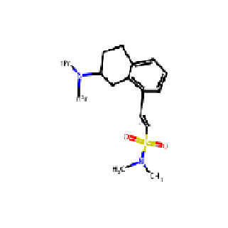 CCCN(CCC)C1CCc2cccc(/C=C/S(=O)(=O)N(C)C)c2C1